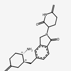 C=C1CC[C@H](N)[C@@H](Cc2ccc3c(c2)CN(C2CCC(=C)NC2=O)C3=O)C1